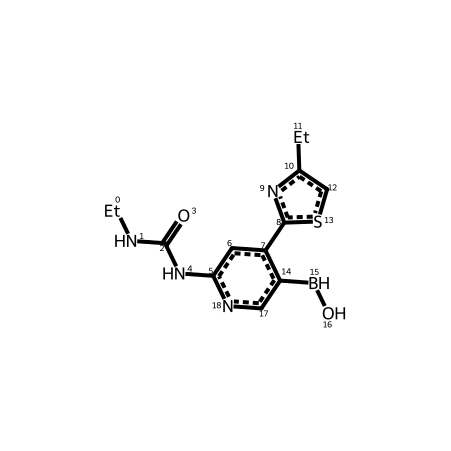 CCNC(=O)Nc1cc(-c2nc(CC)cs2)c(BO)cn1